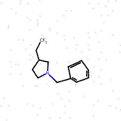 FC(F)(F)CC1CCN(Cc2ccccc2)C1